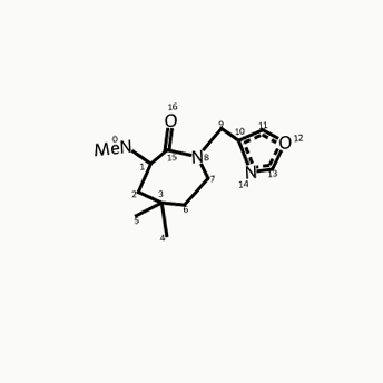 CNC1CC(C)(C)CCN(Cc2cocn2)C1=O